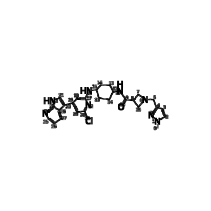 Cn1ccc(CN2CC(C(=O)NC3CCC(Nc4cc(-c5c[nH]c6ncccc56)cc(Cl)n4)CC3)C2)n1